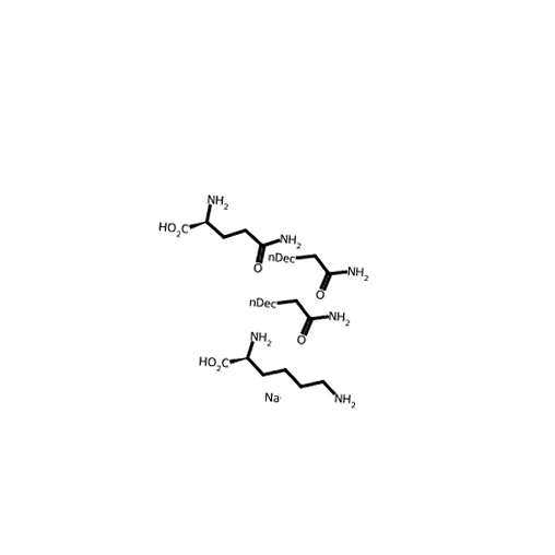 CCCCCCCCCCCC(N)=O.CCCCCCCCCCCC(N)=O.NC(=O)CC[C@H](N)C(=O)O.NCCCC[C@H](N)C(=O)O.[Na]